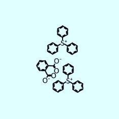 O=C([O-])c1ccccc1C(=O)[O-].c1ccc([S+](c2ccccc2)c2ccccc2)cc1.c1ccc([S+](c2ccccc2)c2ccccc2)cc1